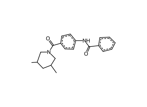 CC1CC(C)CN(C(=O)c2ccc(NC(=O)c3ccccc3)cc2)C1